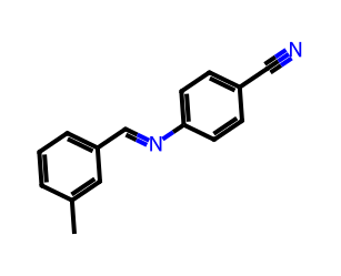 Cc1cccc(C=Nc2ccc(C#N)cc2)c1